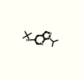 CC(C)n1ncc2cc(NC(C)(C)C)cnc21